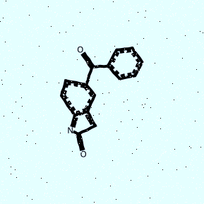 O=C1C=c2cc(C(=O)c3ccccc3)ccc2=N1